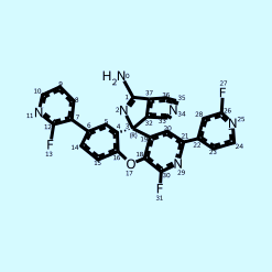 NC1=N[C@@]2(c3cc(-c4cccnc4F)ccc3Oc3c2cc(-c2ccnc(F)c2)nc3F)c2cnccc21